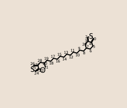 c1scc2c1CCC(CCCCCCCCCCCCC1COc3cscc3C1)C2